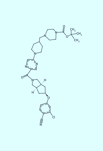 CC(C)(C)OC(=O)N1CCN(CC2CCN(c3cnc(C(=O)N4C[C@H]5C[C@@H](Oc6ccc(C#N)c(Cl)c6)C[C@H]5C4)cn3)CC2)CC1